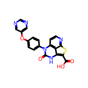 O=C(O)c1sc2nccc3c2c1NC(=O)N3c1ccc(Oc2cncnc2)cc1